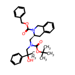 CC(C)(C)OC(=O)N(C[C@@H]1Cc2ccccc2CN1C(=O)OCc1ccccc1)CC(C)(O)c1ccccc1